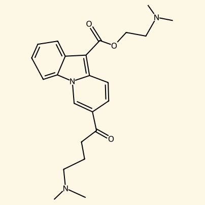 CN(C)CCCC(=O)c1ccc2c(C(=O)OCCN(C)C)c3ccccc3n2c1